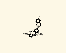 CSc1ccc(Nc2c(C)cc(N3CCc4cc(F)ccc4C3)cc2C)[nH]1